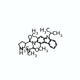 Cc1cc2c(c(C)c1N(C(=O)C1CCNC1)C(=O)N(C)C)c1ccccc1n2C(C)C